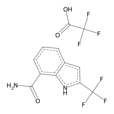 NC(=O)c1cccc2cc(C(F)(F)F)[nH]c12.O=C(O)C(F)(F)F